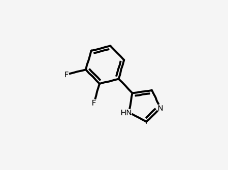 Fc1cccc(-c2cn[c][nH]2)c1F